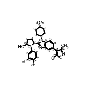 CC(=O)O[C@H]1CC[C@@H](n2c([C@@H]3CCC(O)N3c3ccc(F)c(F)c3)nc3cc(-c4c(C)noc4C)ccc32)CC1